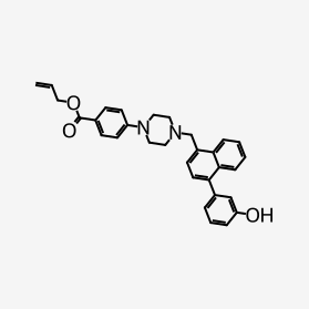 C=CCOC(=O)c1ccc(N2CCN(Cc3ccc(-c4cccc(O)c4)c4ccccc34)CC2)cc1